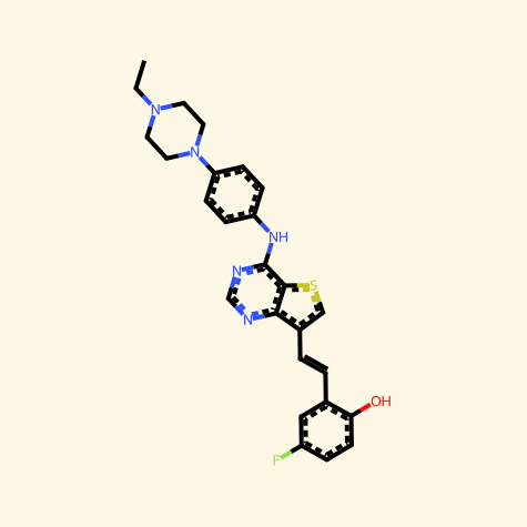 CCN1CCN(c2ccc(Nc3ncnc4c(/C=C/c5cc(F)ccc5O)csc34)cc2)CC1